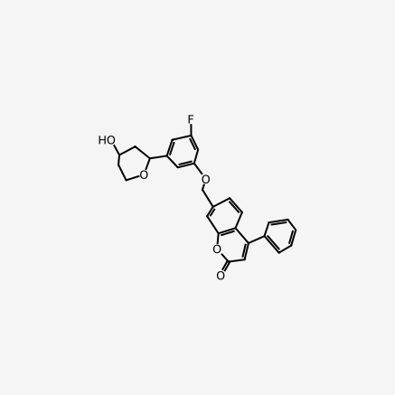 O=c1cc(-c2ccccc2)c2ccc(COc3cc(F)cc(C4CC(O)CCO4)c3)cc2o1